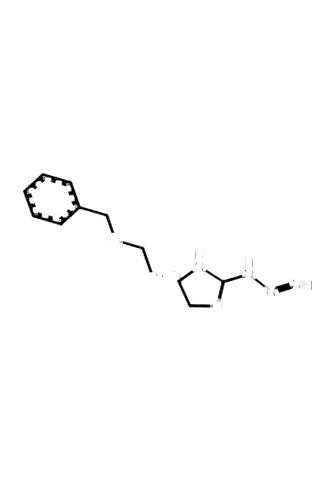 N=NNC1N[C@@H](CCOCc2ccccc2)CO1